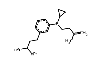 C=C(C)CCB(c1cccc(CCC(CCC)CCC)c1)C1CC1